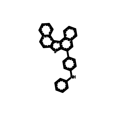 c1ccc(Nc2ccc(-c3cc4ccccc4c4c3sc3ccc5ccccc5c34)cc2)cc1